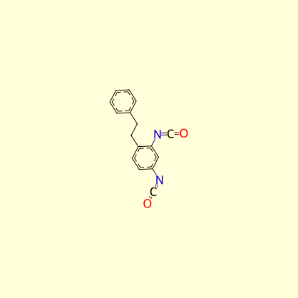 O=C=Nc1ccc(CCc2ccccc2)c(N=C=O)c1